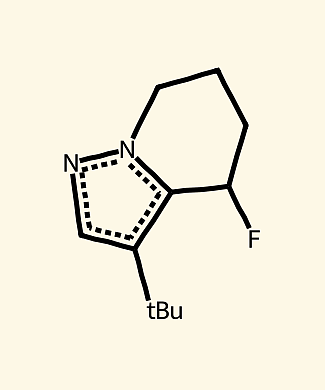 CC(C)(C)c1cnn2c1C(F)CCC2